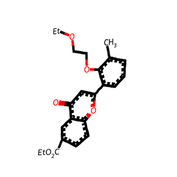 CCOCCOc1c(C)cccc1-c1cc(=O)c2cc(C(=O)OCC)ccc2o1